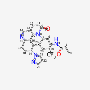 C=CC(=O)Nc1cc(-n2c(=O)ccc3cnc4ccc(-n5cccn5)cc4c32)ccc1C(F)(F)F